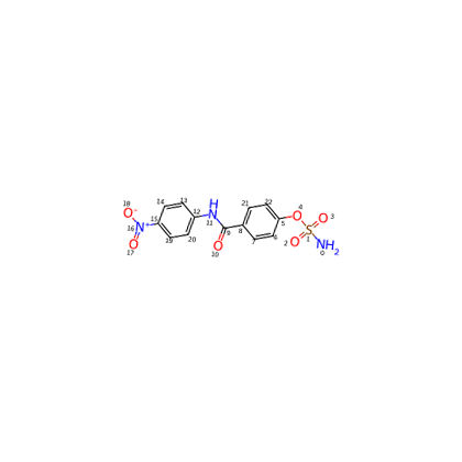 NS(=O)(=O)Oc1ccc(C(=O)Nc2ccc([N+](=O)[O-])cc2)cc1